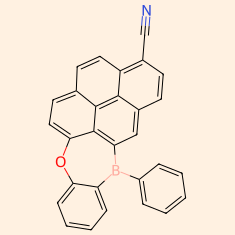 N#Cc1ccc2cc3c4c(ccc5ccc1c2c54)Oc1ccccc1B3c1ccccc1